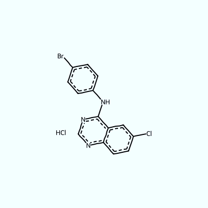 Cl.Clc1ccc2ncnc(Nc3ccc(Br)cc3)c2c1